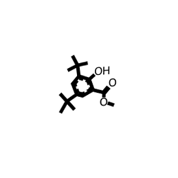 COC(=O)c1cc(C(C)(C)C)cc(C(C)(C)C)c1O